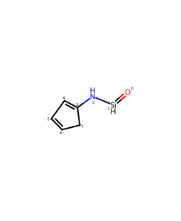 O=[SiH]NC1=CC=CC1